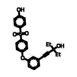 CCC(O)(C#Cc1cccc(Oc2ccc(S(=O)(=O)c3ccc(O)cc3)cc2)c1)CC